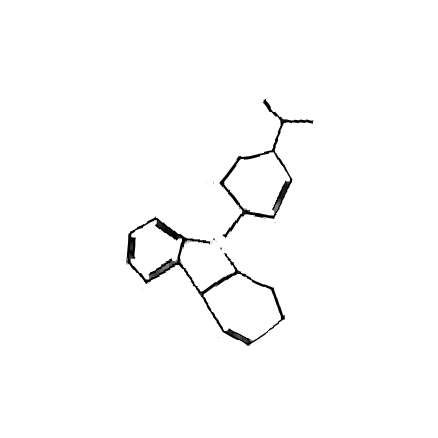 CC(C)C1C=CC(N2c3ccccc3C3C=CCCC32)CC1